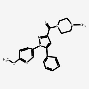 COc1ccc(-n2nc(C(=S)N3CCN(C)CC3)cc2-c2ccccc2)cn1